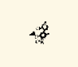 Cc1cc([N+](=O)[O-])c(OC2CC2)cc1C1CCN(C)CC1Cl